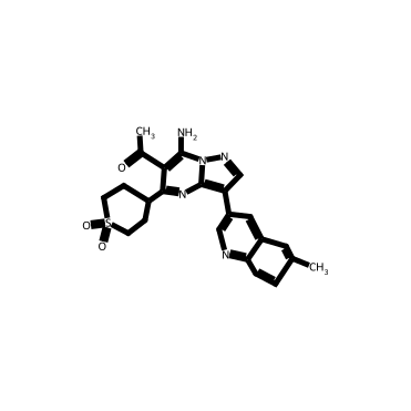 CC(=O)c1c(C2CCS(=O)(=O)CC2)nc2c(-c3cnc4ccc(C)cc4c3)cnn2c1N